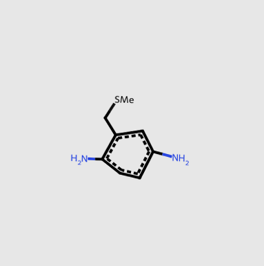 CSCc1cc(N)ccc1N